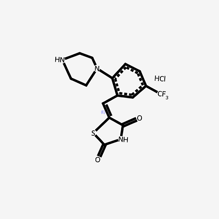 Cl.O=C1NC(=O)/C(=C\c2cc(C(F)(F)F)ccc2N2CCNCC2)S1